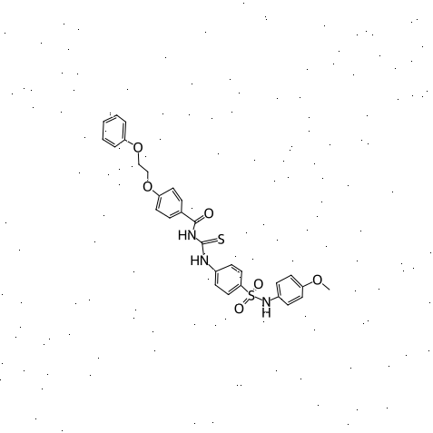 COc1ccc(NS(=O)(=O)c2ccc(NC(=S)NC(=O)c3ccc(OCCOc4ccccc4)cc3)cc2)cc1